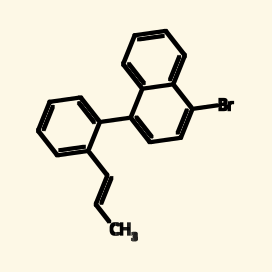 C/C=C/c1ccccc1-c1ccc(Br)c2ccccc12